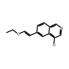 CCO/C=C/c1ccc2cncc(Cl)c2c1